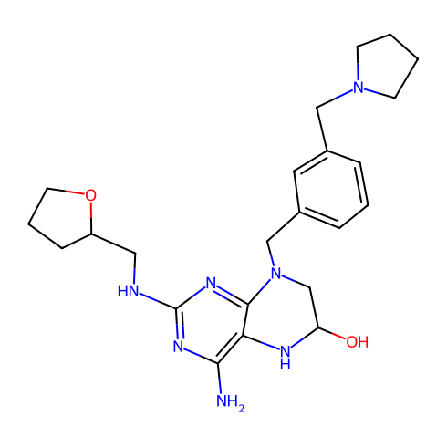 Nc1nc(NCC2CCCO2)nc2c1NC(O)CN2Cc1cccc(CN2CCCC2)c1